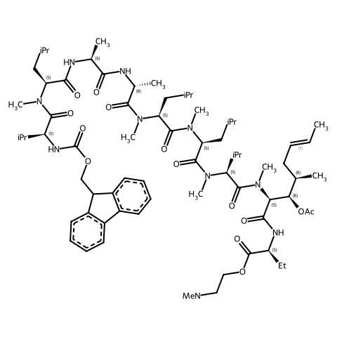 C/C=C/C[C@@H](C)[C@@H](OC(C)=O)[C@@H](C(=O)N[C@@H](CC)C(=O)OCCNC)N(C)C(=O)[C@H](C(C)C)N(C)C(=O)[C@H](CC(C)C)N(C)C(=O)[C@H](CC(C)C)N(C)C(=O)[C@@H](C)NC(=O)[C@H](C)NC(=O)[C@H](CC(C)C)N(C)C(=O)[C@@H](NC(=O)OCC1c2ccccc2-c2ccccc21)C(C)C